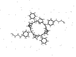 ICCCc1ccc(-c2c3nc(c(-c4ccccc4)c4ccc([nH]4)c(-c4ccc(CCCI)cc4)c4nc(c(-c5ccccc5)c5ccc2[nH]5)C=C4)C=C3)cc1